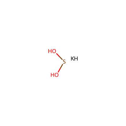 OSO.[KH]